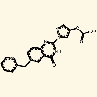 O=C(O)Oc1cnn(-c2nc3ccc(Cc4ccccc4)cc3c(=O)[nH]2)c1